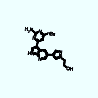 CCCCc1cc(-c2c[nH]c3ncc(-c4cnn(CCO)c4)cc23)nc(N)n1